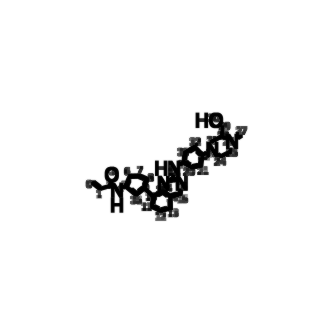 C=CC(=O)Nc1cccc(-c2cccc3cnc(Nc4ccc(N5CCN(C)C(CO)C5)cc4)nc23)c1